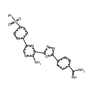 CC(C)S(=O)(=O)c1ccc(-c2cnc(N)c(-c3nnc(-c4ccc(C(=N)N)cc4)o3)n2)cc1